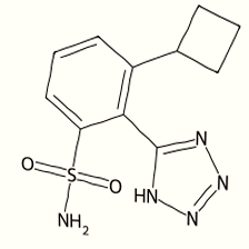 NS(=O)(=O)c1cccc(C2CCC2)c1-c1nnn[nH]1